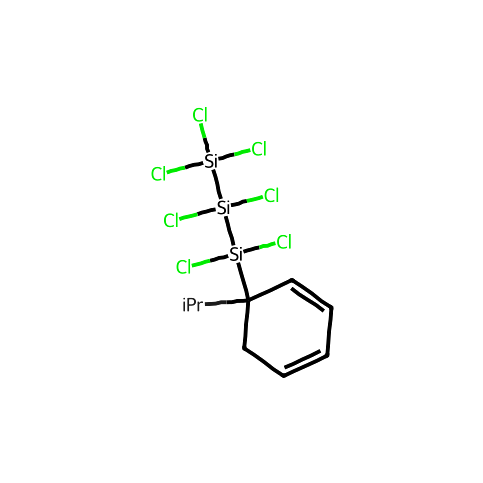 CC(C)C1([Si](Cl)(Cl)[Si](Cl)(Cl)[Si](Cl)(Cl)Cl)C=CC=CC1